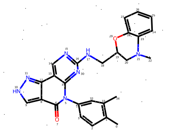 Cc1ccc(-n2c(=O)c3c[nH]nc3c3cnc(NCC4CN(C)c5ccccc5O4)nc32)cc1C